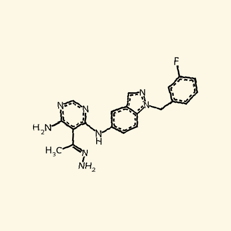 CC(=NN)c1c(N)ncnc1Nc1ccc2c(cnn2Cc2cccc(F)c2)c1